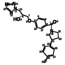 O=C(c1ccc(OC[C@H](O)Cn2ncnn2)cc1)N1CC[C@@H](c2ccc(F)cc2)C1